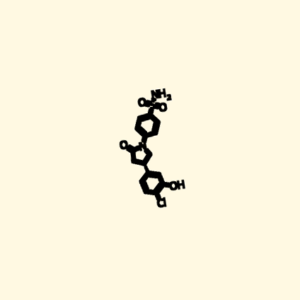 NS(=O)(=O)c1ccc(N2C[C@@H](c3ccc(Cl)c(O)c3)CC2=O)cc1